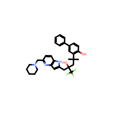 CC(C)(CC(O)(Cc1cc2nc(CN3CCCCC3)ccc2[nH]1)C(F)(F)F)c1cc(-c2ccccc2)ccc1O